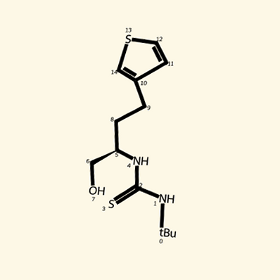 CC(C)(C)NC(=S)N[C@@H](CO)CCc1ccsc1